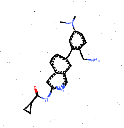 CN(C)c1ccc(CN)c(-c2ccc3cc(NC(=O)C4CC4)ncc3c2)c1